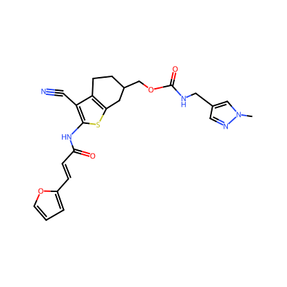 Cn1cc(CNC(=O)OCC2CCc3c(sc(NC(=O)C=Cc4ccco4)c3C#N)C2)cn1